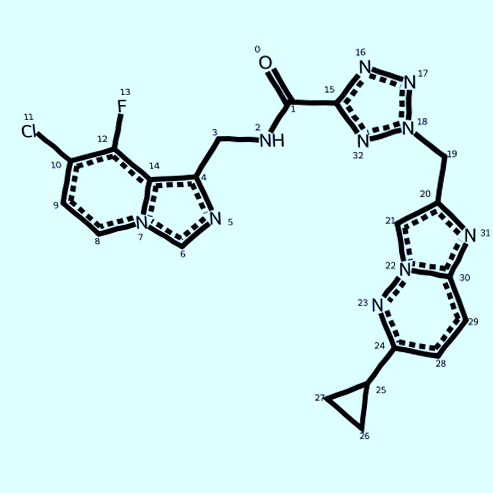 O=C(NCc1ncn2ccc(Cl)c(F)c12)c1nnn(Cc2cn3nc(C4CC4)ccc3n2)n1